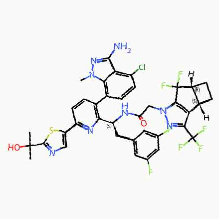 Cn1nc(N)c2c(Cl)ccc(-c3ccc(-c4cnc(C(C)(C)O)s4)nc3[C@H](Cc3cc(F)cc(F)c3)NC(=O)Cn3nc(C(F)(F)F)c4c3C(F)(F)[C@@H]3CC[C@H]43)c21